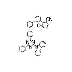 N#Cc1cccc2oc3c(-c4cccc(-c5ccc(-c6nc(-c7ccccc7)nc(-n7c8ccccc8c8ccccc87)n6)cc5)c4)cccc3c12